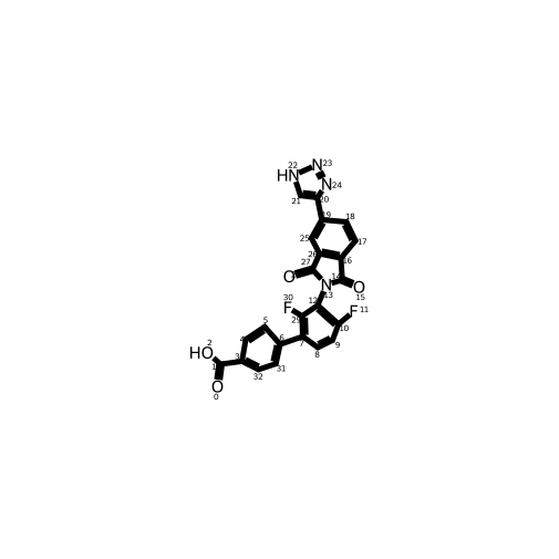 O=C(O)c1ccc(-c2ccc(F)c(N3C(=O)c4ccc(-c5c[nH]nn5)cc4C3=O)c2F)cc1